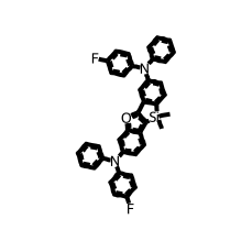 C[Si]1(C)c2ccc(N(c3ccccc3)c3ccc(F)cc3)cc2-c2oc3cc(N(c4ccccc4)c4ccc(F)cc4)ccc3c21